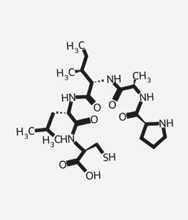 CC[C@H](C)[C@H](NC(=O)[C@H](C)NC(=O)[C@@H]1CCCN1)C(=O)N[C@@H](CC(C)C)C(=O)N[C@@H](CS)C(=O)O